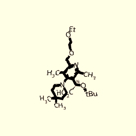 CCOCCOCc1nc(C)c([C@H](OC(C)(C)C)C(=O)O)c(N2CCC(C)(C)CC2)c1C